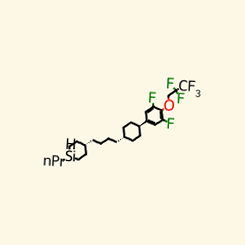 CCC[Si@H]1CC[C@H](CCCC[C@H]2CC[C@H](c3cc(F)c(OCC(F)(F)C(F)(F)F)c(F)c3)CC2)CC1